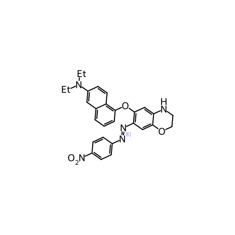 CCN(CC)c1ccc2c(Oc3cc4c(cc3/N=N/c3ccc([N+](=O)[O-])cc3)OCCN4)cccc2c1